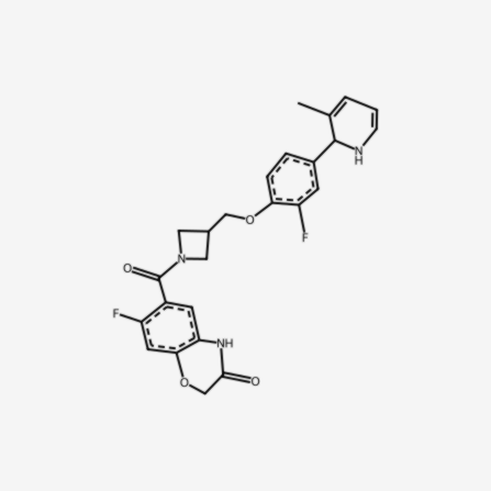 CC1=CC=CNC1c1ccc(OCC2CN(C(=O)c3cc4c(cc3F)OCC(=O)N4)C2)c(F)c1